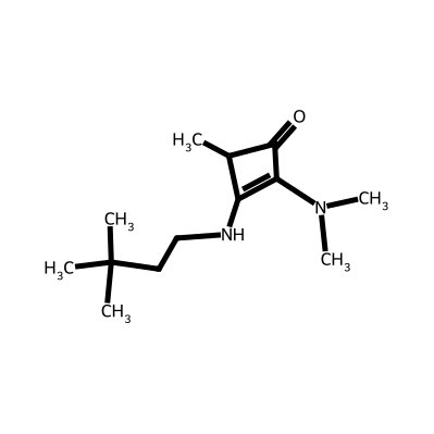 CC1C(=O)C(N(C)C)=C1NCCC(C)(C)C